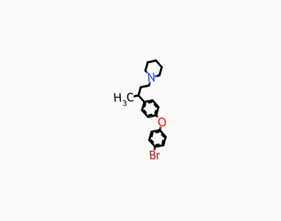 CC(CCN1CCCCC1)c1ccc(Oc2ccc(Br)cc2)cc1